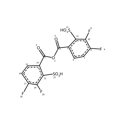 O=C(OC(=O)c1ccc(F)c(F)c1S(=O)(=O)O)c1ccc(F)c(F)c1S(=O)(=O)O